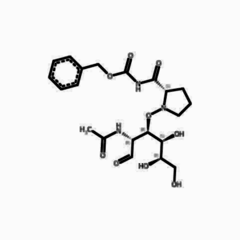 CC(=O)N[C@@H](C=O)[C@@H](ON1CCC[C@H]1C(=O)NC(=O)OCc1ccccc1)[C@@H](O)[C@H](O)CO